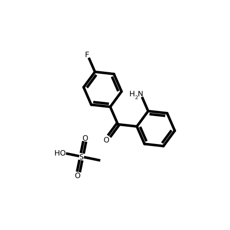 CS(=O)(=O)O.Nc1ccccc1C(=O)c1ccc(F)cc1